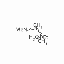 CCN(CCCN(C)CCCNC)N(C)C